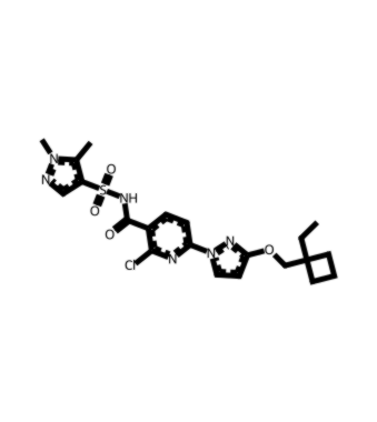 CCC1(COc2ccn(-c3ccc(C(=O)NS(=O)(=O)c4cnn(C)c4C)c(Cl)n3)n2)CCC1